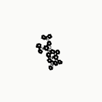 c1ccc(-c2cc(-c3ccccc3)cc(-n3c4c(ccc5c4c4ccccc4n5-c4ccccc4)c4ccc5c(c6ccccc6n5-c5cc(-n6c7ccccc7c7ccccc76)cc6c5oc5ccc(-n7c8ccccc8c8ccccc87)cc56)c43)c2)cc1